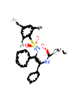 COC(=O)NC(c1ccccc1)[C@@H](NS(=O)(=O)c1c(C(C)C)cc(C(C)C)cc1C(C)C)c1ccccc1